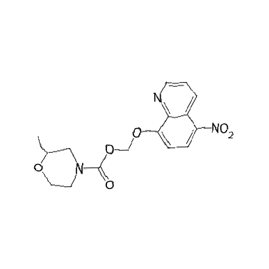 CC1CN(C(=O)OCOc2ccc([N+](=O)[O-])c3cccnc23)CCO1